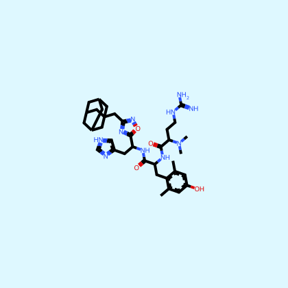 Cc1cc(O)cc(C)c1CC(NC(=O)C(CCNC(=N)N)N(C)C)C(=O)NC(Cc1c[nH]cn1)c1nc(CC23CC4CC(CC(C4)C2)C3)no1